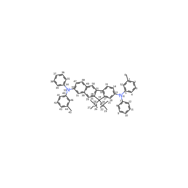 Cc1cccc(N(c2ccccc2)c2ccc3c(c2)C([Si](C)(C)C)([Si](C)(C)C)c2cc4cc(N(c5ccccc5)c5cccc(C)c5)ccc4cc2-3)c1